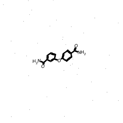 NC(=O)c1ccc(Oc2cccc(C(N)=O)c2)cc1